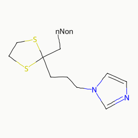 CCCCCCCCCCC1(CCCn2ccnc2)SCCS1